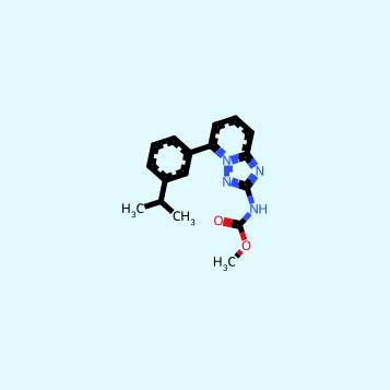 COC(=O)Nc1nc2cccc(-c3cccc(C(C)C)c3)n2n1